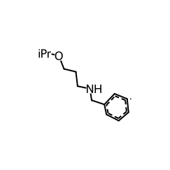 CC(C)OCCCNCc1c[c]ccc1